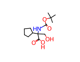 CC(C)(C)OC(=O)NC(CO)(C(=O)O)C1CCCC1